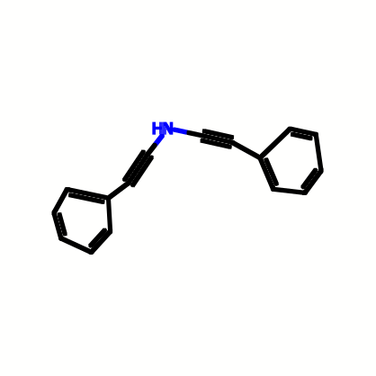 C(#Cc1ccccc1)NC#Cc1ccccc1